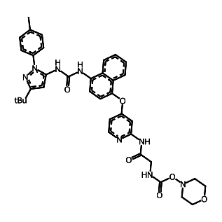 Cc1ccc(-n2nc(C(C)(C)C)cc2NC(=O)Nc2ccc(Oc3ccnc(NC(=O)CNC(=O)ON4CCOCC4)c3)c3ccccc23)cc1